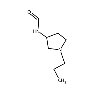 CCCN1CCC(NC=O)C1